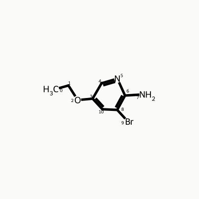 CCOc1cnc(N)c(Br)c1